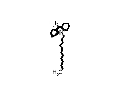 CCCCCCCCCCCC[n+]1c2c(c(N)c3ccccc31)CCCC2